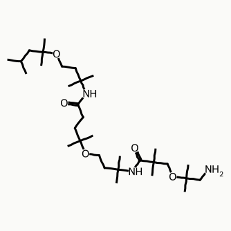 CC(C)CC(C)(C)OCCC(C)(C)NC(=O)CCC(C)(C)OCCC(C)(C)NC(=O)C(C)(C)COC(C)(C)CN